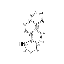 c1ccc2c(c1)ccc1c3c(ccc12)CCCN3